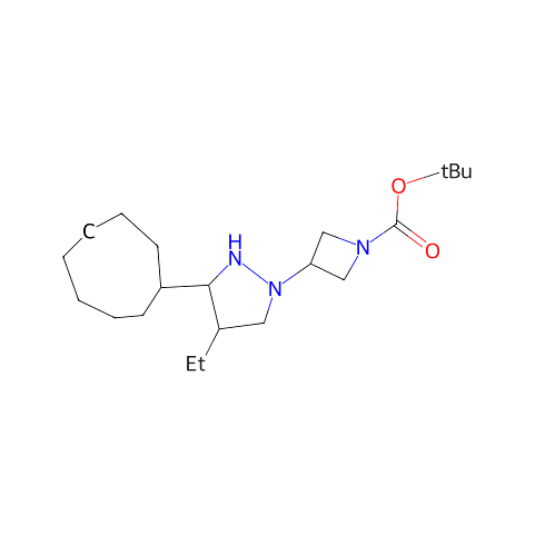 CCC1CN(C2CN(C(=O)OC(C)(C)C)C2)NC1C1CCCCCCC1